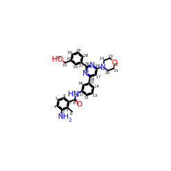 Cc1c(N)cccc1C(=O)Nc1cccc(-c2cc(N3CCOCC3)nc(-c3cccc(CO)c3)n2)c1